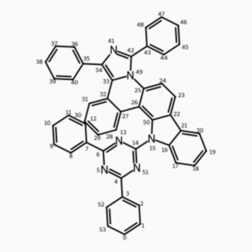 c1ccc(-c2nc(-c3ccccc3)nc(-n3c4ccccc4c4ccc5c(c6ccccc6c6c(-c7ccccc7)nc(-c7ccccc7)n56)c43)n2)cc1